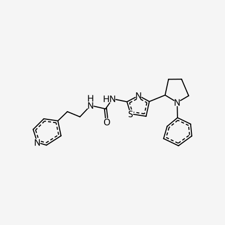 O=C(NCCc1ccncc1)Nc1nc(C2CCCN2c2ccccc2)cs1